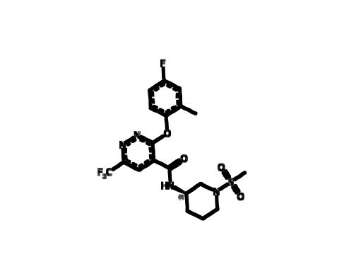 Cc1cc(F)ccc1Oc1nnc(C(F)(F)F)cc1C(=O)N[C@@H]1CCCN(S(C)(=O)=O)C1